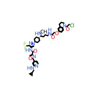 CNC(CCCNC(=O)COc1ccc2c(c1)CCCN2C(=O)CCl)[C@H]1CC[C@H](n2cc(NC(=O)c3coc(-c4ccnc(NCC5CC5)c4)n3)c(C(F)F)n2)CC1